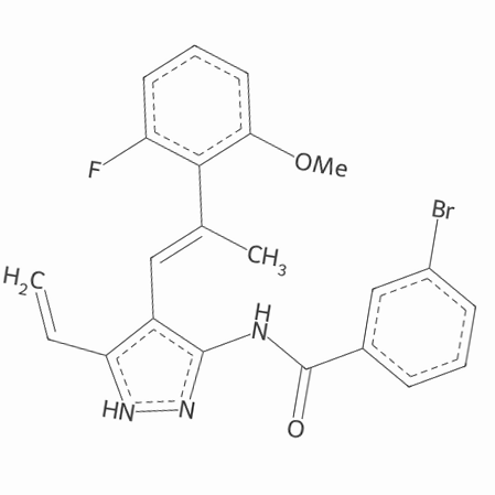 C=Cc1[nH]nc(NC(=O)c2cccc(Br)c2)c1/C=C(\C)c1c(F)cccc1OC